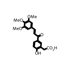 COc1cc(/C=C/C(=O)c2ccc(O)c(CC(=O)O)c2)cc(OC)c1OC